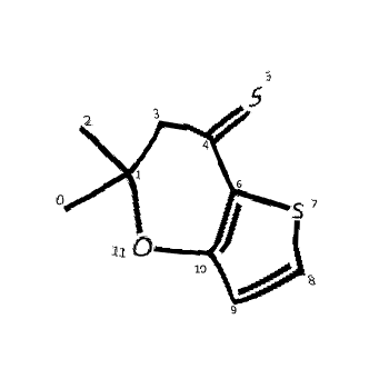 CC1(C)CC(=S)c2sccc2O1